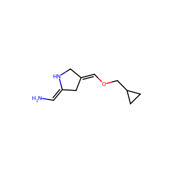 N/C=C1/C/C(=C\OCC2CC2)CN1